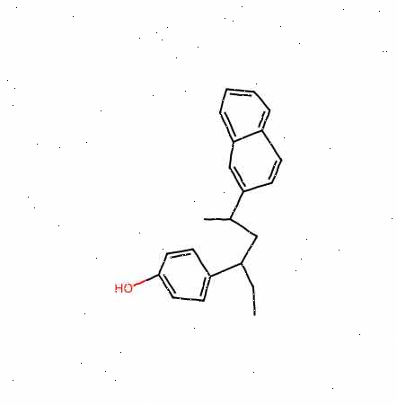 CCC(CC(C)c1ccc2ccccc2c1)c1ccc(O)cc1